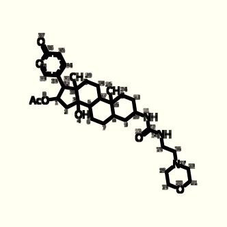 CC(=O)OC1CC2(O)C3CCC4CC(NC(=O)NCCN5CCOCC5)CCC4(C)C3CCC2(C)C1c1ccc(=O)oc1